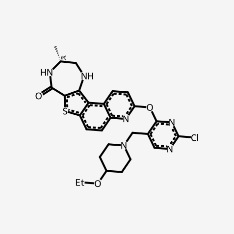 CCOC1CCN(Cc2cnc(Cl)nc2Oc2ccc3c(ccc4sc5c(c43)NC[C@@H](C)NC5=O)n2)CC1